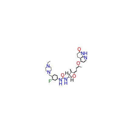 C=C1/C(=C\C=C(/C)Oc2ccnc3c2CCC(=O)N3)O[C@@H]2[C@@H](NC(=O)Nc3ccc(CN4CCN(CC)CC4)c(F)c3)[C@H]12